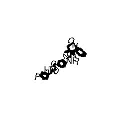 CN1C(=O)Cc2cnc(Nc3ccc(S(=O)(=O)NCc4ccc(F)cc4)cc3)nc2-c2ccccc21